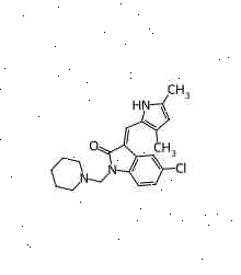 Cc1cc(C)c(C=C2C(=O)N(CN3CCCCC3)c3ccc(Cl)cc32)[nH]1